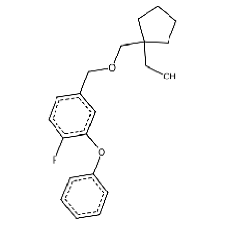 OCC1(COCc2ccc(F)c(Oc3ccccc3)c2)CCCC1